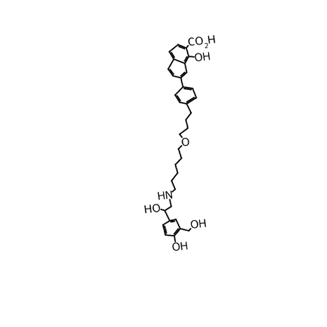 O=C(O)c1ccc2ccc(-c3ccc(CCCCOCCCCCCNCC(O)c4ccc(O)c(CO)c4)cc3)cc2c1O